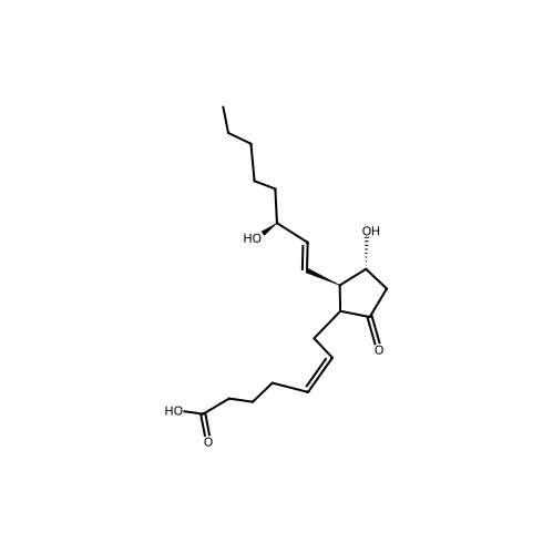 CCCCC[C@H](O)/C=C/[C@@H]1C(C/C=C\CCCC(=O)O)C(=O)C[C@H]1O